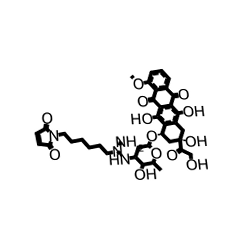 COc1cccc2c1C(=O)c1c(O)c3c(c(O)c1C2=O)C[C@@](O)(C(=O)CO)C[C@@H]3OC1CC(NN(N)CCCCCCN2C(=O)C=CC2=O)C(O)C(C)O1